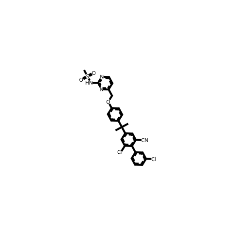 CC(C)(c1ccc(OCc2ccnc(NS(C)(=O)=O)n2)cc1)c1cc(Cl)c(-c2cccc(Cl)c2)c(C#N)c1